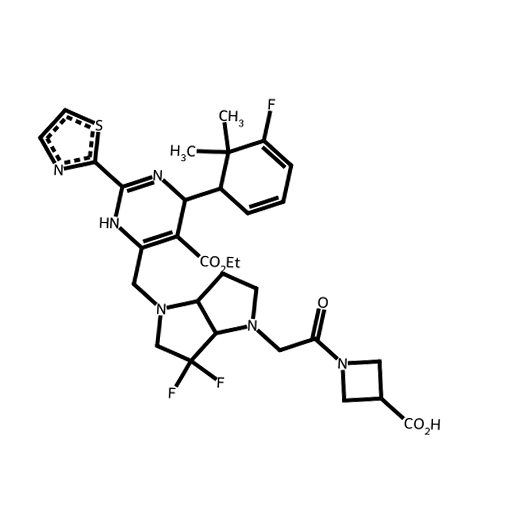 CCOC(=O)C1=C(CN2CC(F)(F)C3C2CCN3CC(=O)N2CC(C(=O)O)C2)NC(c2nccs2)=NC1C1C=CC=C(F)C1(C)C